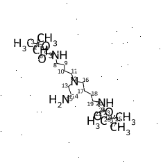 CC(C)(C)OC(=O)NCCCCN(CCN)CCCCNC(=O)OC(C)(C)C